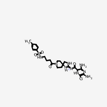 Cc1ccc(S(=O)(=O)NCCCC(=O)N2CCC3(CC2)CN/C(=N\C(=O)C2NC(Cl)=C(N)N=C2N)N3)cc1